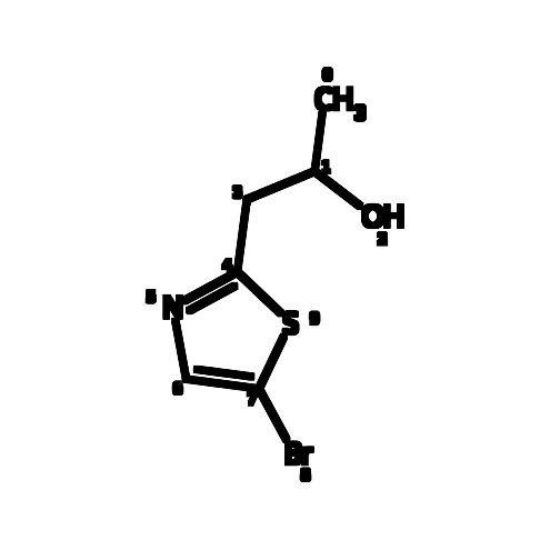 CC(O)Cc1ncc(Br)s1